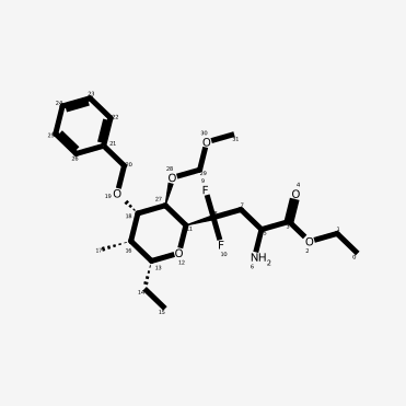 CCOC(=O)C(N)CC(F)(F)[C@H]1O[C@H](CC)[C@H](C)[C@H](OCc2ccccc2)[C@H]1OCOC